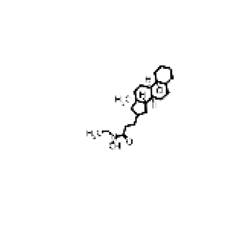 CCN(C)C(=O)CCC1C[C@H]2[C@@H]3CCC4CCCC[C@]4(C)[C@@H]3CC[C@]2(C)C1